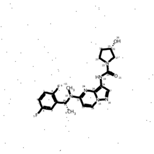 C[C@H](c1cc(F)ccc1F)N(C)c1ccn2ncc(NC(=O)N3CC[C@H](O)C3)c2n1